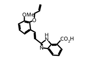 C=CCOc1c(C=Cc2nc3cccc(C(=O)O)c3[nH]2)cccc1OC